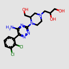 Nc1nc(N2CCN(CC(O)CO)CC2CO)nnc1-c1cccc(Cl)c1Cl